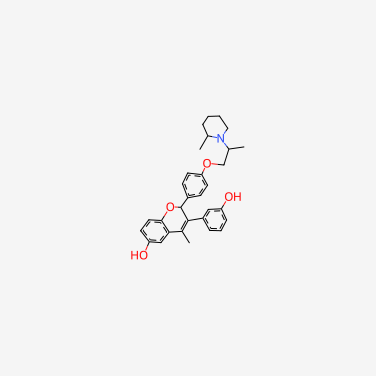 CC1=C(c2cccc(O)c2)C(c2ccc(OCC(C)N3CCCCC3C)cc2)Oc2ccc(O)cc21